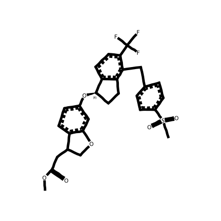 COC(=O)CC1COc2cc(O[C@@H]3CCc4c3ccc(C(F)(F)F)c4Cc3ccc(S(C)(=O)=O)cc3)ccc21